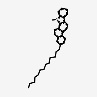 CCCCCCCCCCCCCc1ccc2c(ccc3c2ccc2c4ccccc4n(C)c32)c1